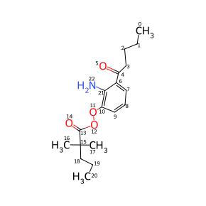 CCCCC(=O)c1cccc(OOC(=O)C(C)(C)CCC)c1N